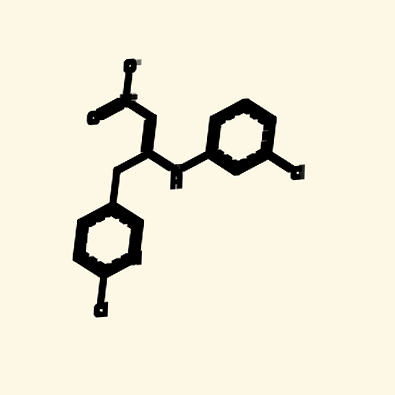 O=[N+]([O-])C=C(Cc1ccc(Cl)nc1)Nc1cccc(Cl)c1